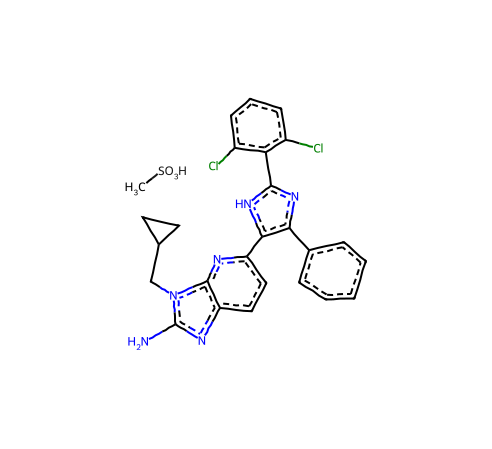 CS(=O)(=O)O.Nc1nc2ccc(-c3[nH]c(-c4c(Cl)cccc4Cl)nc3-c3ccccc3)nc2n1CC1CC1